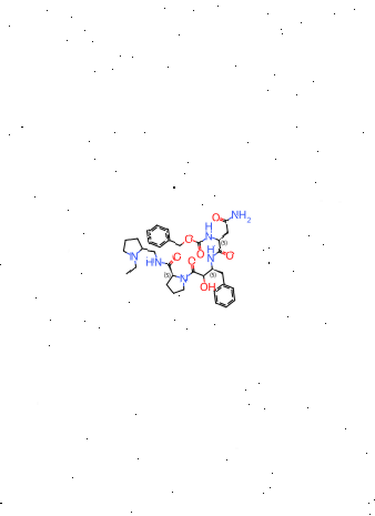 CCN1CCCC1CNC(=O)[C@@H]1CCCN1C(=O)C(O)[C@H](Cc1ccccc1)NC(=O)[C@H](CC(N)=O)NC(=O)OCc1ccccc1